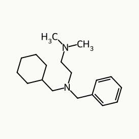 CN(C)CCN(Cc1ccccc1)CC1CCCCC1